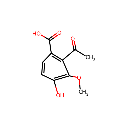 COc1c(O)ccc(C(=O)O)c1C(C)=O